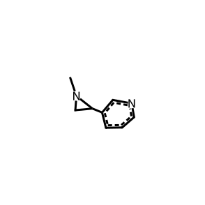 CN1CC1c1cccnc1